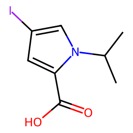 CC(C)n1cc(I)cc1C(=O)O